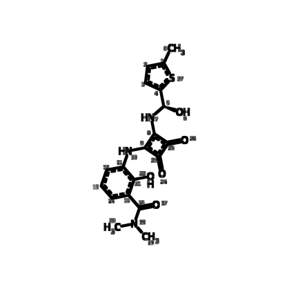 Cc1ccc([C@@H](O)Nc2c(Nc3cccc(C(=O)N(C)C)c3O)c(=O)c2=O)s1